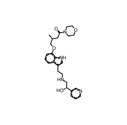 CC(COc1cccc2c(CCNC[C@H](O)c3cccnc3)c[nH]c12)CC(=O)N1CCOCC1